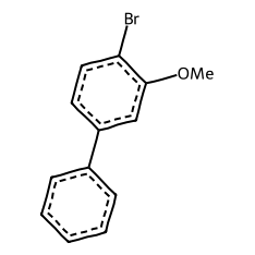 COc1cc(-c2ccccc2)ccc1Br